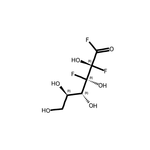 O=C(F)[C@](O)(F)[C@](O)(F)[C@H](O)[C@H](O)CO